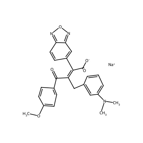 COc1ccc(C(=O)C(Cc2cccc(N(C)C)c2)=C(C(=O)[O-])c2ccc3nonc3c2)cc1.[Na+]